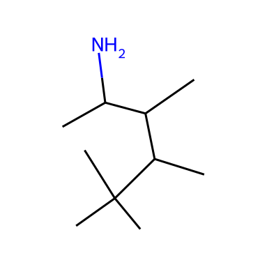 CC(N)C(C)C(C)C(C)(C)C